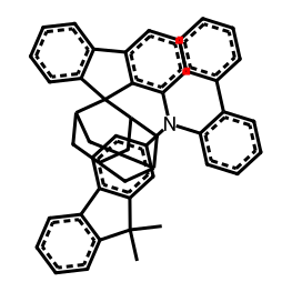 CC1(C)c2ccccc2-c2ccc(N(c3ccccc3-c3ccccc3)c3cccc4c3C3(c5ccccc5-4)C4CC5CC(C4)CC3C5)cc21